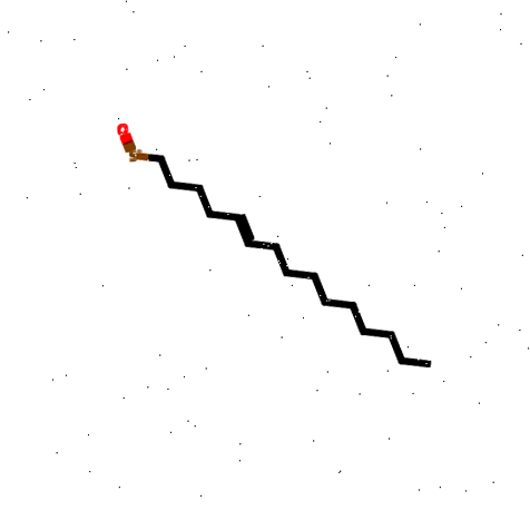 CCCCCCCCCC=CCCCC[S+]=O